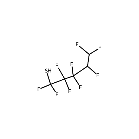 FC(F)C(F)C(F)(F)C(F)(F)C(F)(F)S